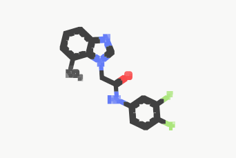 O=C(Cn1cnc2cccc([N+](=O)[O-])c21)Nc1ccc(F)c(F)c1